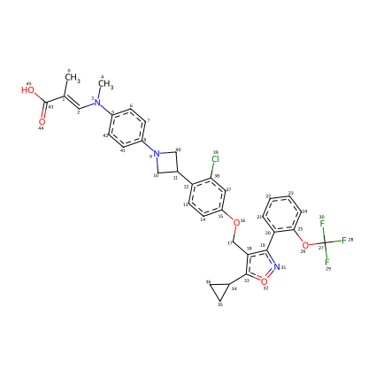 C/C(=C\N(C)c1ccc(N2CC(c3ccc(OCc4c(-c5ccccc5OC(F)(F)F)noc4C4CC4)cc3Cl)C2)cc1)C(=O)O